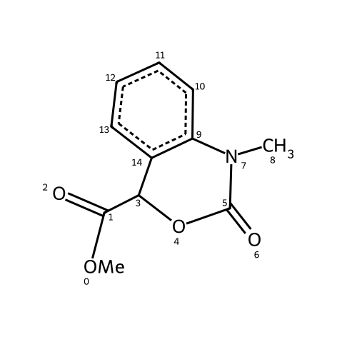 COC(=O)C1OC(=O)N(C)c2ccccc21